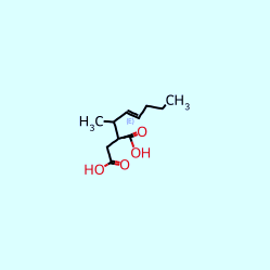 CCC/C=C/C(C)C(CC(=O)O)C(=O)O